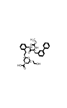 COC(=O)N[C@@H](Cc1cccc(-c2ccccc2)c1)C(=O)Nc1ccccc1CC[C@@H]1CN(C(=O)O)C[C@@H](CCO)O1